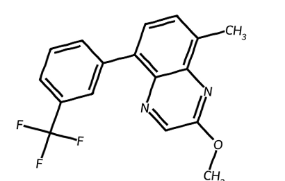 COc1cnc2c(-c3cccc(C(F)(F)F)c3)ccc(C)c2n1